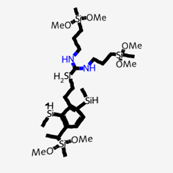 CO[Si](C)(CCCNC(NCCC[Si](C)(OC)OC)[SiH2]CCc1c([SiH](C)C)ccc(C(C)[Si](C)(OC)OC)c1[SiH](C)C)OC